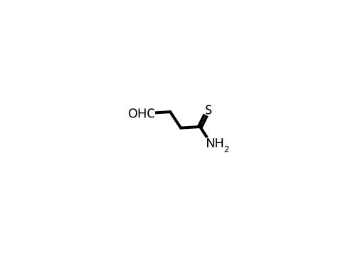 NC(=S)CCC=O